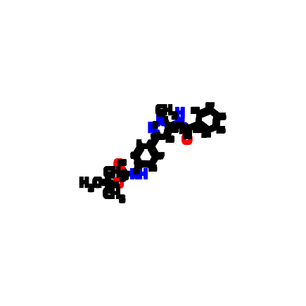 Cn1nc(-c2ccc(NC(=O)OC(C)(C)C)cc2)cc1NC(=O)c1ccccc1